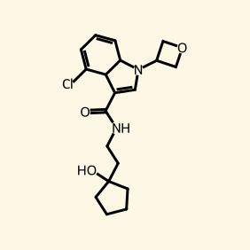 O=C(NCCC1(O)CCCC1)C1=CN(C2COC2)C2C=CC=C(Cl)C12